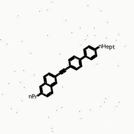 CCCCCCCc1ccc(-c2ccc(C#Cc3ccc4cc(CCC)ccc4c3)cc2)cc1